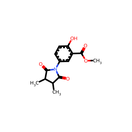 COC(=O)c1cc(N2C(=O)C(C)C(C)C2=O)ccc1O